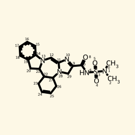 CN(C)S(=O)(=O)NC(=O)C1=NC2=CN3c4ccccc4CC3C3CC=CCC3N2C1